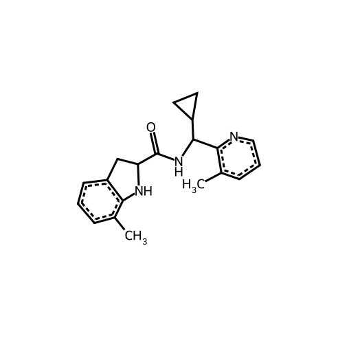 Cc1cccnc1C(NC(=O)C1Cc2cccc(C)c2N1)C1CC1